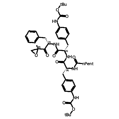 CCCCCC(=O)N[C@H](Cc1ccc(NC(=O)OC(C)(C)C)cc1)C(=O)N[C@@H](Cc1ccc(NC(=O)OC(C)(C)C)cc1)C(=O)N[C@@H](Cc1ccccc1)C(=O)[C@@]1(C)CO1